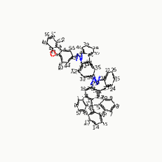 c1ccc(C(c2ccccc2)(c2ccccc2)c2ccc3c(c2)c2ccccc2n3-c2ccc3c(c2)c2ccccc2n3-c2ccc3oc4ccccc4c3c2)cc1